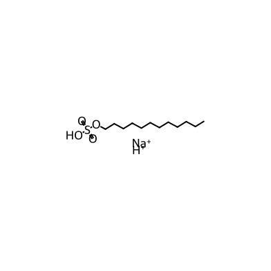 CCCCCCCCCCCCOS(=O)(=O)O.[H+].[Na+]